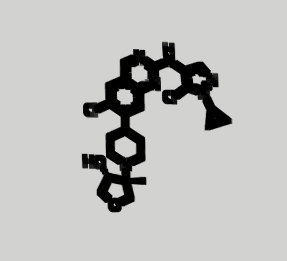 C[C@@]1(N2CCC(c3cc4nc(Nc5cnn(C6CC6)c5Cl)ncc4cc3Cl)CC2)COC[C@@H]1O